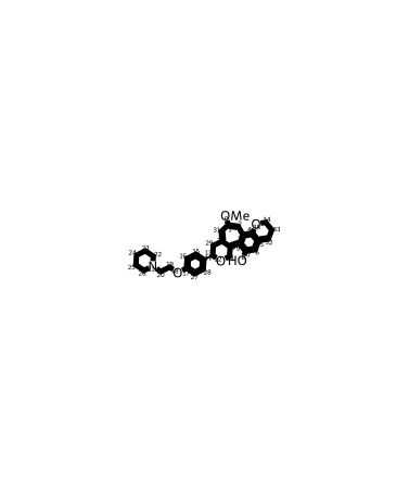 COC1=Cc2c3c(cc(O)c2=C2CO[C@@H](c4ccc(OCCN5CCCCC5)cc4)CC2=C1)=CCCO3